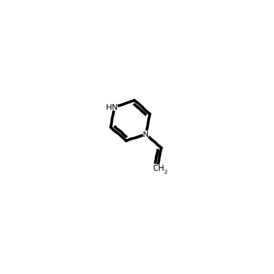 C=CN1C=CNC=C1